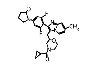 Cc1ccn2c(CC3CN(C(=O)C4CC4)CCO3)c(-c3c(F)cc(N4CCCC4=O)cc3F)nc2c1